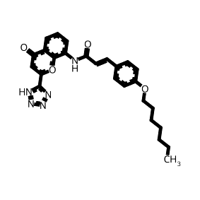 CCCCCCCOc1ccc(C=CC(=O)Nc2cccc3c(=O)cc(-c4nnn[nH]4)oc23)cc1